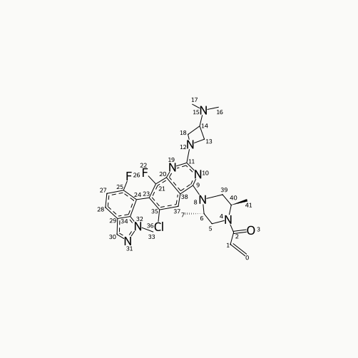 C=CC(=O)N1C[C@H](C)N(c2nc(N3CC(N(C)C)C3)nc3c(F)c(-c4c(F)ccc5cnn(C)c45)c(Cl)cc23)C[C@H]1C